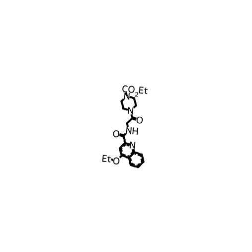 CCOC(=O)N1CCN(C(=O)CNC(=O)c2cc(OCC)c3ccccc3n2)CC1